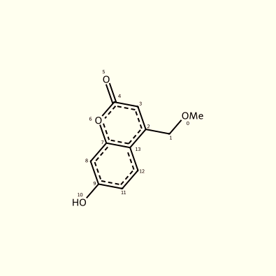 COCc1cc(=O)oc2cc(O)ccc12